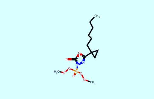 CCCCCCC1(c2nn(P(=O)(OOC)OOC)c(=O)o2)CC1